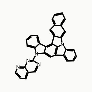 c1ccc2cc3c(cc2c1)c1c2c4ccccc4n(-c4ncc5cccnc5n4)c2cc2c4ccccc4n3c21